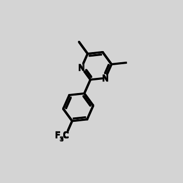 Cc1cc(C)nc(-c2ccc(C(F)(F)F)cc2)n1